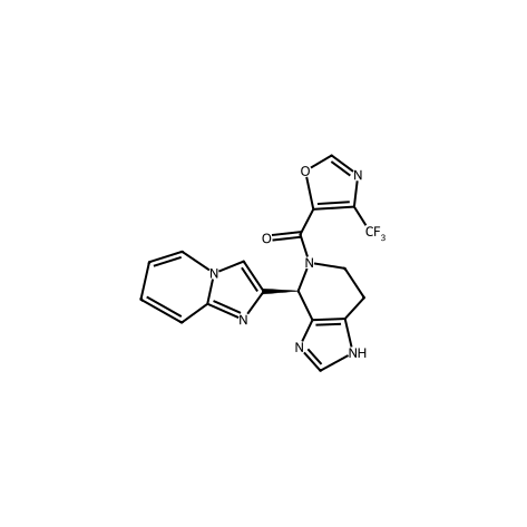 O=C(c1ocnc1C(F)(F)F)N1CCc2[nH]cnc2[C@H]1c1cn2ccccc2n1